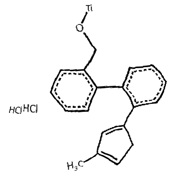 CC1=CCC(c2ccccc2-c2ccccc2C[O][Ti])=C1.Cl.Cl